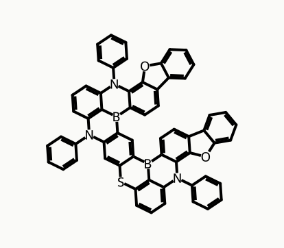 c1ccc(N2c3cc4c(cc3B3c5ccc6c(oc7ccccc76)c5N(c5ccccc5)c5cccc2c53)B2c3ccc5c(oc6ccccc65)c3N(c3ccccc3)c3cccc(c32)S4)cc1